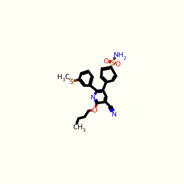 CCCCOc1nc(-c2cccc(SC)c2)c(-c2ccc(S(N)(=O)=O)cc2)cc1C#N